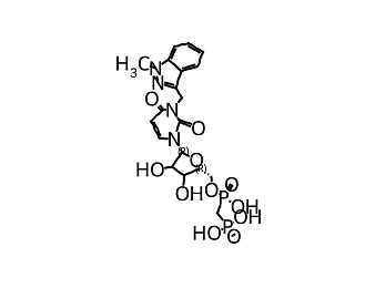 Cn1nc(Cn2c(=O)ccn([C@@H]3O[C@H](COP(=O)(O)CP(=O)(O)O)C(O)C3O)c2=O)c2ccccc21